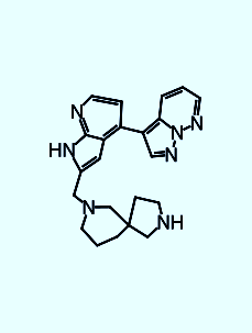 c1cnn2ncc(-c3ccnc4[nH]c(CN5CCCC6(CCNC6)C5)cc34)c2c1